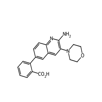 Nc1nc2ccc(-c3ccccc3C(=O)O)cc2cc1N1CCOCC1